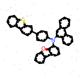 c1ccc2c(c1)cc(N(c1ccc(-c3ccc4c(c3)sc3ccccc34)cc1)c1cccc3c1oc1ccccc13)c1ccccc12